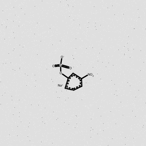 O=[N+]([O-])c1cccc(OS(=O)(=O)[O-])c1.[Na+]